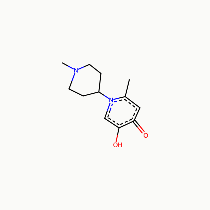 Cc1cc(=O)c(O)cn1C1CCN(C)CC1